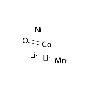 [Li].[Li].[Mn].[Ni].[O]=[Co]